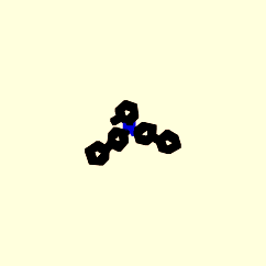 Cc1ccccc1N(c1ccc(C2=CCCC=C2)cc1)c1ccc(-c2ccccc2)cc1